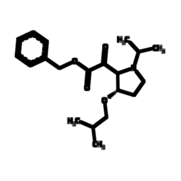 CC(C)CO[C@H]1CCN(C(C)C)C1C(=O)C(=O)OCc1ccccc1